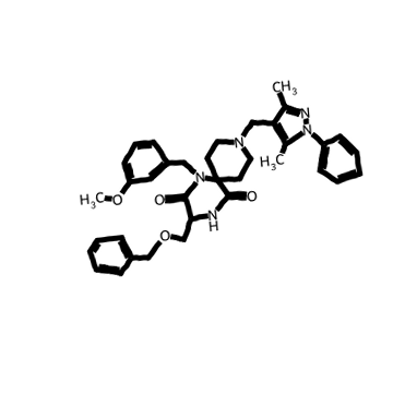 COc1cccc(CN2C(=O)C(COCc3ccccc3)NC(=O)C23CCN(Cc2c(C)nn(-c4ccccc4)c2C)CC3)c1